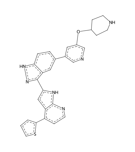 c1csc(-c2ccnc3[nH]c(-c4n[nH]c5ccc(-c6cncc(OC7CCNCC7)c6)cc45)cc23)c1